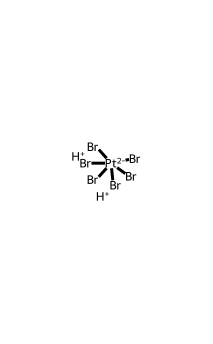 [Br][Pt-2]([Br])([Br])([Br])([Br])[Br].[H+].[H+]